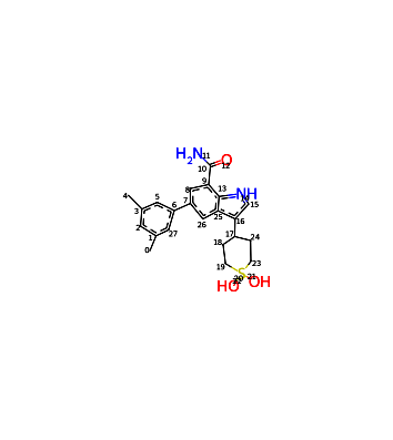 Cc1cc(C)cc(-c2cc(C(N)=O)c3[nH]cc(C4CCS(O)(O)CC4)c3c2)c1